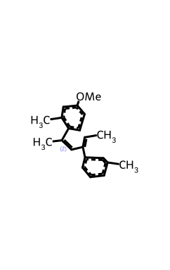 CC=C(/C=C(/C)c1ccc(OC)cc1C)c1cccc(C)c1